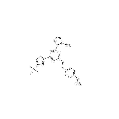 COc1ccc(COc2cc(-c3nccn3C)nc(-c3nc(C(F)(F)F)cs3)n2)cc1